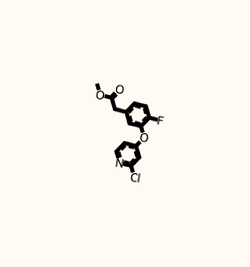 COC(=O)Cc1ccc(F)c(Oc2ccnc(Cl)c2)c1